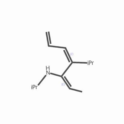 C=C/C=C(\C(=C/C)NC(C)C)C(C)C